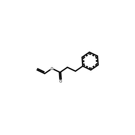 C=COC(=O)CCc1ccccc1